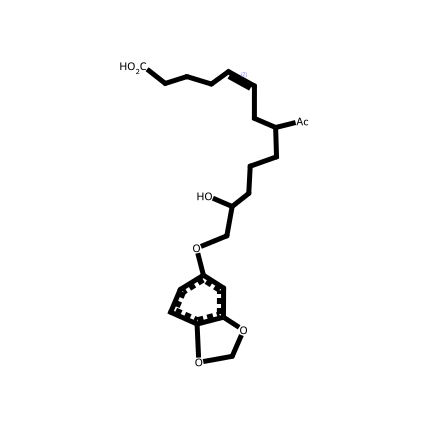 CC(=O)C(C/C=C\CCCC(=O)O)CCCC(O)COc1ccc2c(c1)OCO2